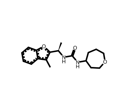 Cc1c([C@@H](C)NC(=O)NC2CCCOCC2)oc2ccccc12